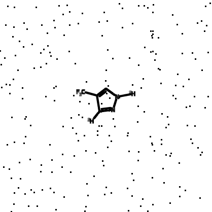 [2H]c1nn([2H])cc1C(F)(F)F